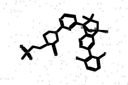 CC1(C)C[C@H]2CC[C@]1(c1ccnc(N3CCN(CCS(C)(=O)=O)C(=O)C3)n1)c1nnc(-c3c(F)cccc3F)cc12